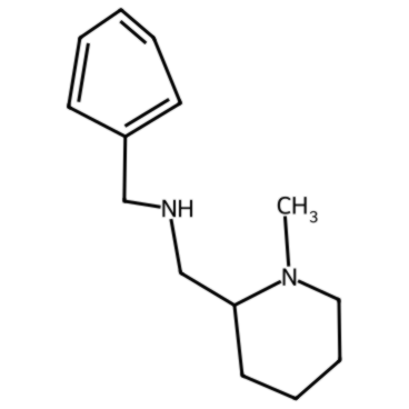 CN1CCCCC1CNCc1ccccc1